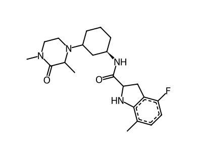 Cc1ccc(F)c2c1NC(C(=O)N[C@@H]1CCCC(N3CCN(C)C(=O)C3C)C1)C2